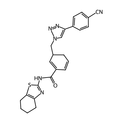 N#Cc1ccc(-c2cn(CC3C=C(C(=O)Nc4nc5c(s4)CCCC5)C=CC3)nn2)cc1